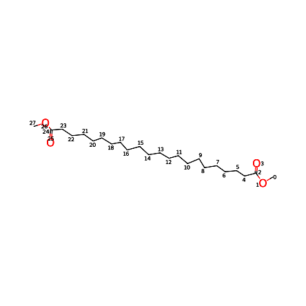 COC(=O)CCCCCCCCCCCCCCCCCCCCC(=O)OC